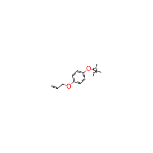 C=CCOc1ccc(O[Si](C)(C)C)cc1